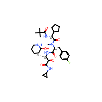 CN(C(=O)[C@H](NC(=O)C(C)(C)C)C1CCCC1)[C@@H](Cc1ccc(F)cc1)C(=O)N[C@@H](C[C@@H]1CCCNC1O)C(=O)C(=O)NC1CC1